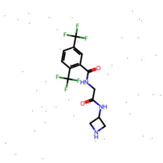 O=C(CNC(=O)c1cc(C(F)(F)F)ccc1C(F)(F)F)NC1CNC1